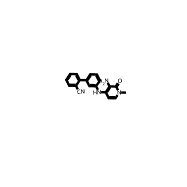 Cn1ccc(Nc2cccc(-c3ccccc3C#N)c2)c([N+](=O)[O-])c1=O